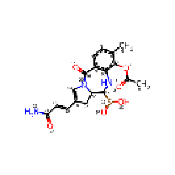 CC(=O)Oc1c(C)ccc2c1NC(S(=O)O)C1CC(C=CC(N)=O)=CN1C2=O